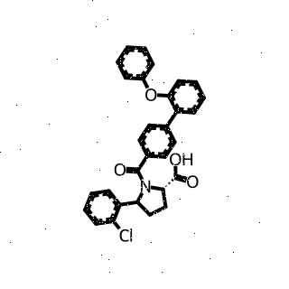 O=C(O)[C@@H]1CCC(c2ccccc2Cl)N1C(=O)c1ccc(-c2ccccc2Oc2ccccc2)cc1